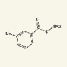 CCCCCC[N]C(=O)c1cccc(Cl)c1